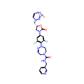 C=NN(/C=C\N)C[C@H]1CN(c2cc(F)c(N3CCN(C(=O)NCc4cccnc4)CC=N3)c(F)c2)C(=O)O1